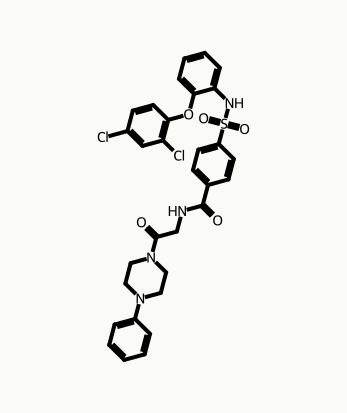 O=C(NCC(=O)N1CCN(c2ccccc2)CC1)c1ccc(S(=O)(=O)Nc2ccccc2Oc2ccc(Cl)cc2Cl)cc1